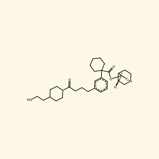 O=C(CCCc1cccc(C2(C(=O)O[C@H]3CN4CCC3CC4)CCCCC2)c1)N1CCC(CCO)CC1